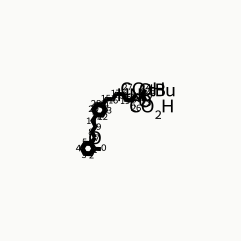 Cc1ccccc1OCCCc1ccc(CCC[C@@H](C[C@H](NC(=O)OC(C)(C)C)C(=O)O)C(=O)O)cc1